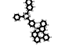 c1ccc(-c2nc(-c3ccc(-n4c5ccc6cccc7c6c5c5c(cc6ccccc6c54)-c4ccccc4-7)cc3)nc(-c3ccc4ccccc4c3)n2)cc1